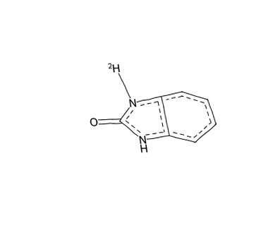 [2H]n1c(=O)[nH]c2ccccc21